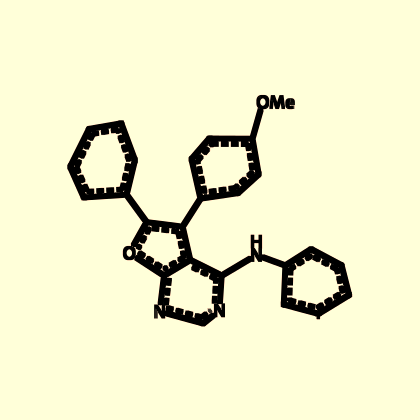 COc1ccc(-c2c(-c3ccccc3)oc3ncnc(Nc4c[c]ccc4)c23)cc1